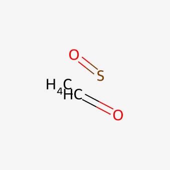 C.O=S.[CH]=O